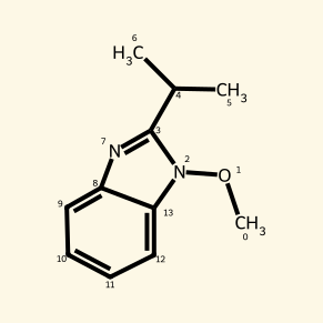 COn1c(C(C)C)nc2ccccc21